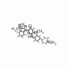 COc1cc(C2CCN(C)CC2)ccc1Nc1ncc(Cl)c(Nc2ccccc2P(C)(C)=O)n1